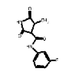 CC1C(=O)NC(=O)C1C(=O)Nc1cccc(F)c1